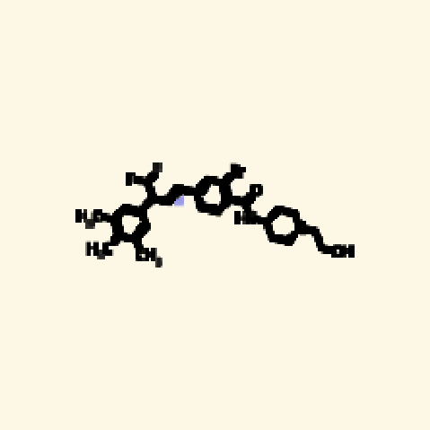 Cc1cc(C(/C=C/c2ccc(C(=O)NC3CCN(CCO)CC3)c(Br)c2)C(F)F)cc(C)c1C